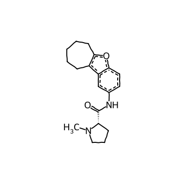 CN1CCC[C@H]1C(=O)Nc1ccc2oc3c(c2c1)CCCCC3